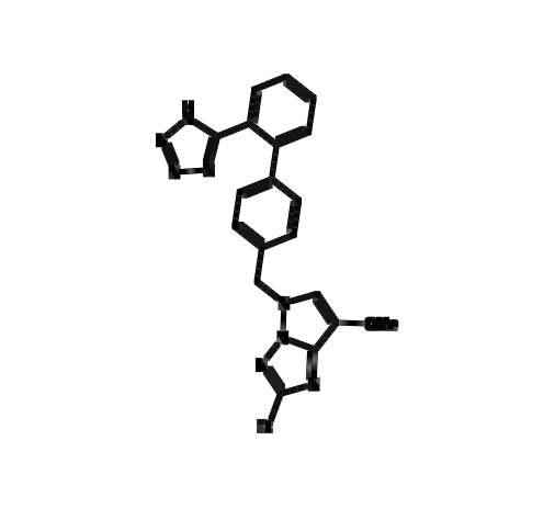 CCc1nc2c(OC)cn(Cc3ccc(-c4ccccc4-c4nnn[nH]4)cc3)n2n1